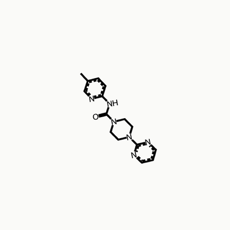 Cc1ccc(NC(=O)N2CCN(c3ncccn3)CC2)nc1